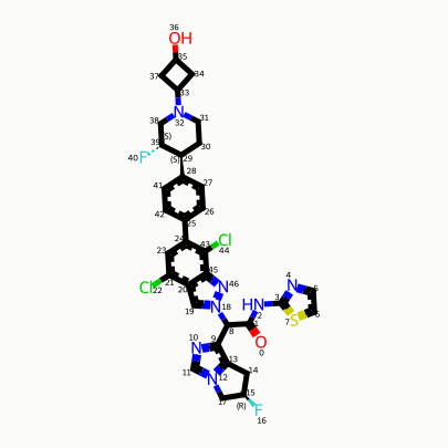 O=C(Nc1nccs1)C(c1ncn2c1C[C@@H](F)C2)n1cc2c(Cl)cc(-c3ccc([C@@H]4CCN(C5CC(O)C5)C[C@H]4F)cc3)c(Cl)c2n1